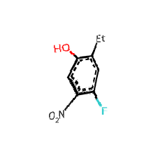 CCc1cc(F)c([N+](=O)[O-])cc1O